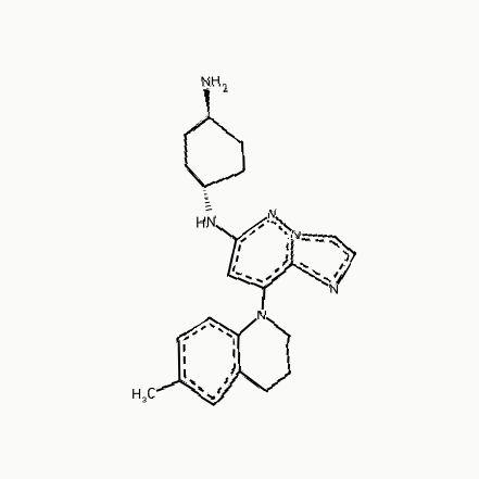 Cc1ccc2c(c1)CCCN2c1cc(N[C@H]2CC[C@H](N)CC2)nn2ccnc12